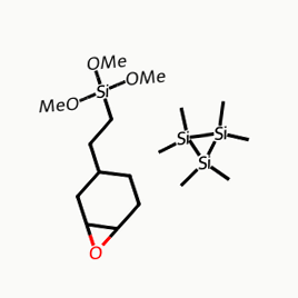 CO[Si](CCC1CCC2OC2C1)(OC)OC.C[Si]1(C)[Si](C)(C)[Si]1(C)C